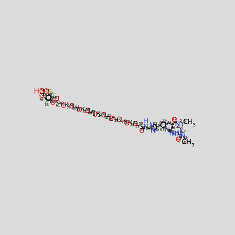 CCCN(CCC1CN(CC)C(=O)N1)C(=O)C1=Cc2ccc(-c3cnc(CNC(=O)CCOCCOCCOCCOCCOCCOCCOCCOCCOCCOCCC(=O)Oc4c(F)c(F)c(S(=O)(=O)O)c(F)c4F)nc3)cc2N=C(N)C1